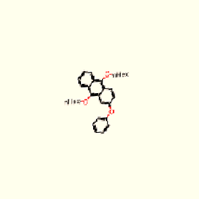 CCCCCCOc1c2ccccc2c(OCCCCCC)c2cc(Oc3ccccc3)ccc12